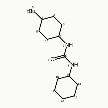 CC(C)(C)C1CCC(NC(=O)NC2CCCCC2)CC1